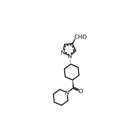 O=Cc1cnn([C@H]2CC[C@H](C(=O)N3CCCCC3)CC2)c1